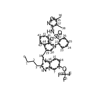 CCCCc1nc2cc(OC(F)(F)F)ccc2n1Cc1cn(-c2ccccc2S(=O)(=O)Nc2noc(C)c2C)c2ccccc12